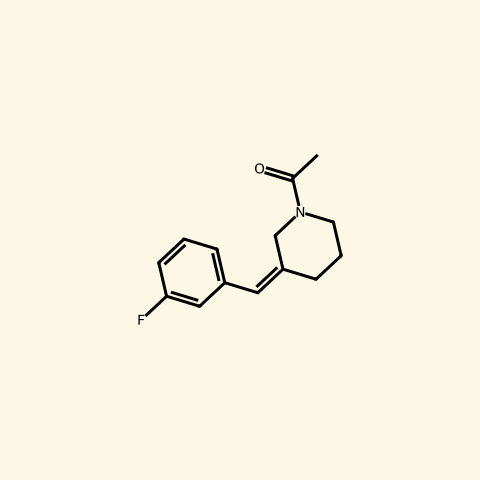 CC(=O)N1CCCC(=Cc2cccc(F)c2)C1